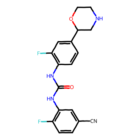 N#Cc1ccc(F)c(NC(=O)Nc2ccc(C3CNCCO3)cc2F)c1